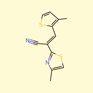 Cc1csc(/C(C#N)=C/c2sccc2C)n1